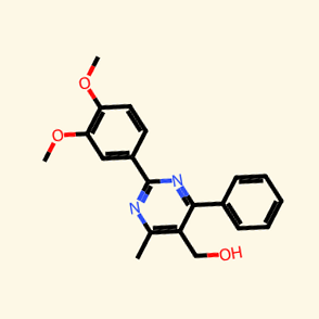 COc1ccc(-c2nc(C)c(CO)c(-c3ccccc3)n2)cc1OC